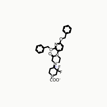 O=C([O-])N1CC/C(=[N+]2/CCN(c3ccc(OCc4ccccc4)nc3OCc3ccccc3)C(=O)C2)C(F)(F)C1